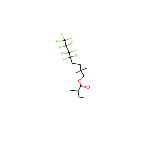 CCC(C)C(=O)OCC(C)(C)CCC(F)(F)C(F)(F)C(F)(F)C(F)(F)F